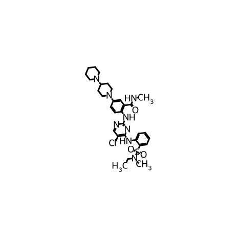 CCN(C)S(=O)(=O)c1ccccc1Nc1nc(Nc2ccc(N3CCC(N4CCCCC4)CC3)cc2C(=O)NC)ncc1Cl